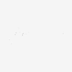 C[C@]12CCC(OCCCOCC(O)CN)CC1CC[C@@H]1[C@H]2CC[C@]2(C)C(c3ccoc3)CC[C@@]12O